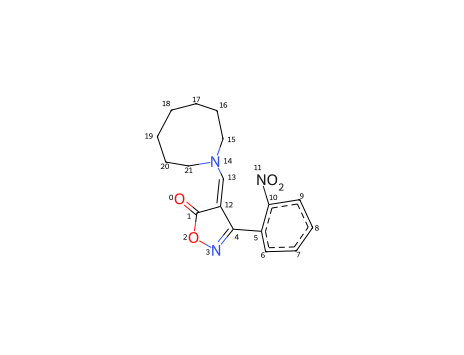 O=C1ON=C(c2ccccc2[N+](=O)[O-])C1=CN1CCCCCCC1